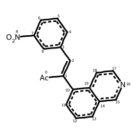 CC(=O)C(=Cc1cccc([N+](=O)[O-])c1)c1cccc2cnccc12